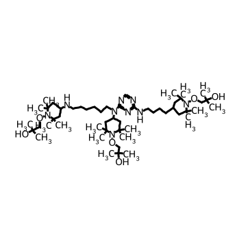 CC(C)(O)CON1C(C)(C)CC(CCCCNc2ncnc(N(CCCCCCNC3CC(C)(C)N(OCC(C)(C)O)C(C)(C)C3)C3CC(C)(C)N(OCC(C)(C)O)C(C)(C)C3)n2)CC1(C)C